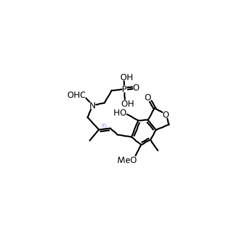 COc1c(C)c2c(c(O)c1C/C=C(\C)CN(C=O)CCP(=O)(O)O)C(=O)OC2